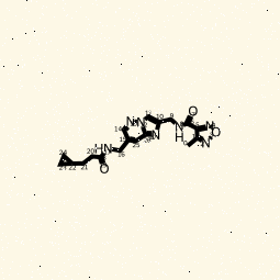 Cc1nonc1C(=O)NCc1cn2ncc(CNC(=O)CCC3CC3)cc2n1